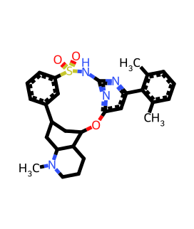 Cc1cccc(C)c1-c1cc2nc(n1)NS(=O)(=O)c1cccc(c1)C1CC(O2)C2CCCN(C)C2C1